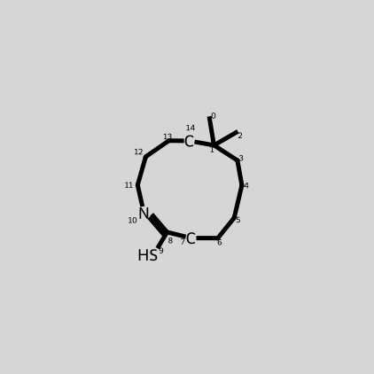 CC1(C)CCCCC/C(S)=N\CCCC1